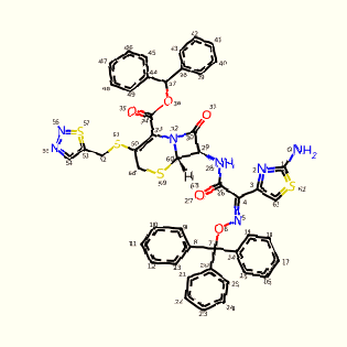 Nc1nc(/C(=N/OC(c2ccccc2)(c2ccccc2)c2ccccc2)C(=O)N[C@@H]2C(=O)N3C(C(=O)OC(c4ccccc4)c4ccccc4)=C(SCc4cnns4)CS[C@@H]23)cs1